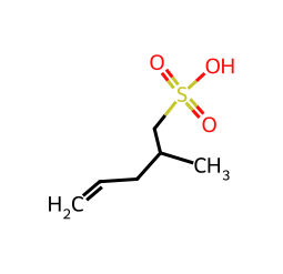 C=CCC(C)CS(=O)(=O)O